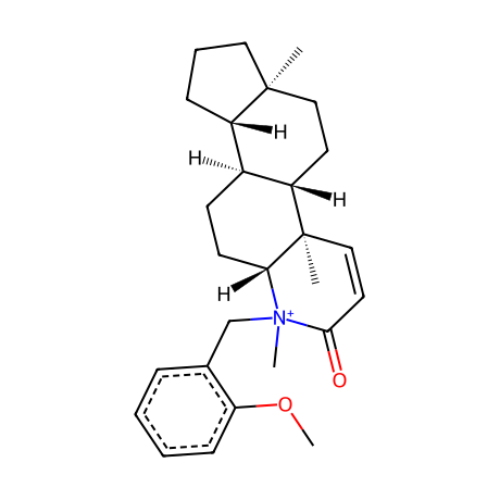 COc1ccccc1C[N+]1(C)C(=O)C=C[C@@]2(C)[C@H]1CC[C@H]1[C@@H]3CCC[C@@]3(C)CC[C@@H]12